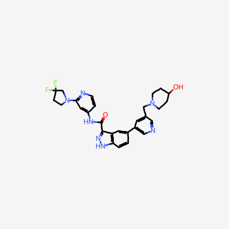 O=C(Nc1ccnc(N2CCC(F)(F)C2)c1)c1n[nH]c2ccc(-c3cncc(CN4CCC(O)CC4)c3)cc12